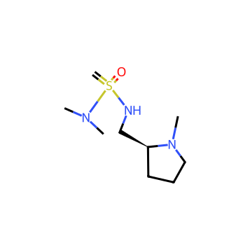 C=S(=O)(NC[C@@H]1CCCN1C)N(C)C